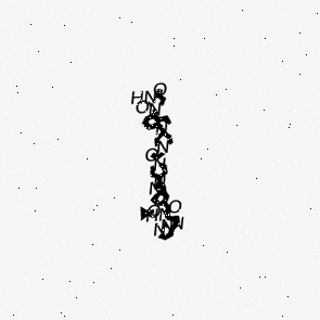 O=C1CCN(c2cccc3c2ccn3C2CCN(CC(=O)N3CCC(n4cc5cc(C(=O)Nc6cnc7cccnn67)c(OC6CC6)cc5n4)CC3)CC2)C(=O)N1